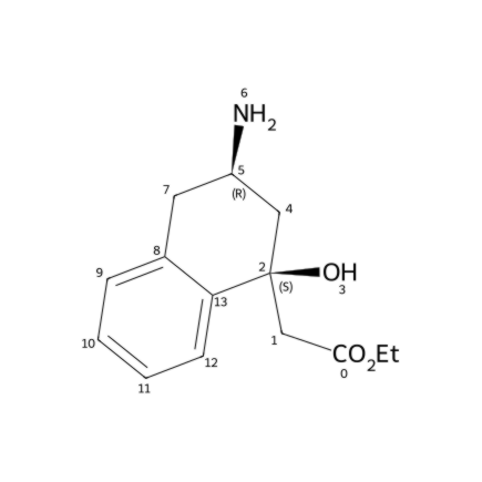 CCOC(=O)C[C@@]1(O)C[C@H](N)Cc2ccccc21